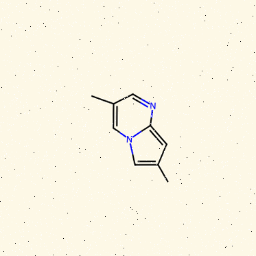 Cc1cnc2cc(C)cn2c1